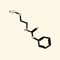 COCCNC(=S)Oc1ccccc1